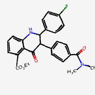 CCOC(=O)c1cccc2c1C(=O)C(c1ccc(C(=O)N(C)C)cc1)C(c1ccc(F)cc1)N2